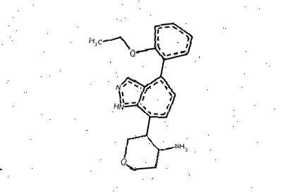 CCOc1ccccc1-c1ccc(C2COCCC2N)c2[nH]ncc12